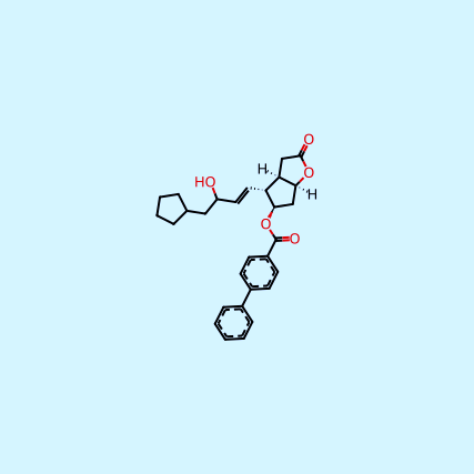 O=C1C[C@@H]2[C@@H](/C=C/C(O)CC3CCCC3)[C@H](OC(=O)c3ccc(-c4ccccc4)cc3)C[C@@H]2O1